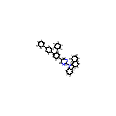 c1ccc(-c2ccc(-c3ccc(-c4cnc(-n5c6ccccc6c6ccc7ccccc7c65)nc4)cc3-c3ccccc3)cc2)cc1